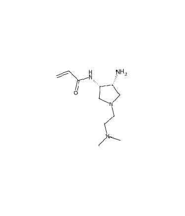 C=CC(=O)N[C@H]1CN(CCN(C)C)C[C@H]1N